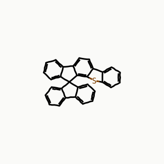 c1ccc2c(c1)-c1ccccc1C21c2ccccc2-c2ccc3c(sc4ccccc43)c21